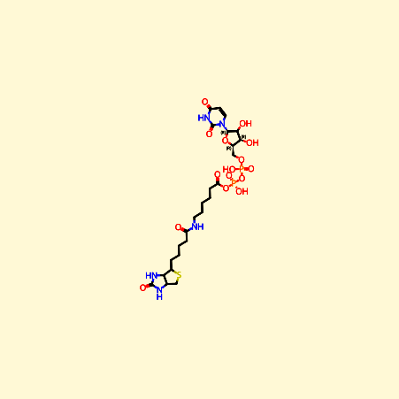 O=C(CCCCC1SCC2NC(=O)NC21)NCCCCCC(=O)OP(=O)(O)OP(=O)(O)OC[C@H]1O[C@@H](n2ccc(=O)[nH]c2=O)C(O)[C@H]1O